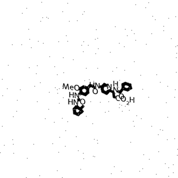 COc1cc(CC(=O)Nc2ccc(C(CC(=O)O)NC(=O)c3ccccc3)nc2)ccc1NC(=O)Nc1ccccc1C